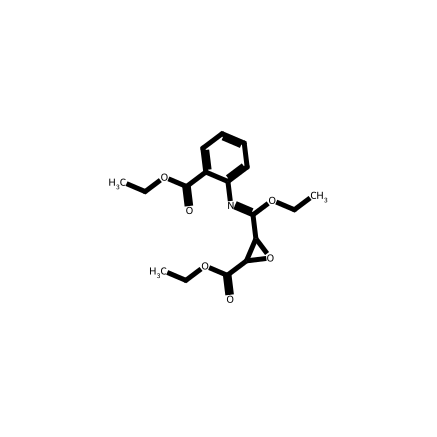 CCOC(=O)c1ccccc1N=C(OCC)C1OC1C(=O)OCC